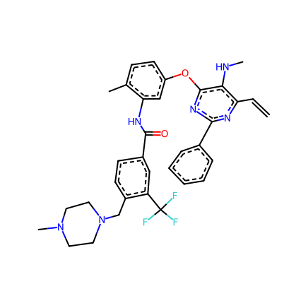 C=Cc1nc(-c2ccccc2)nc(Oc2ccc(C)c(NC(=O)c3ccc(CN4CCN(C)CC4)c(C(F)(F)F)c3)c2)c1NC